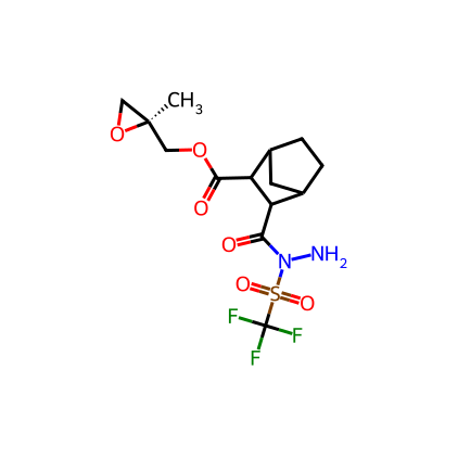 C[C@@]1(COC(=O)C2C3CCC(C3)C2C(=O)N(N)S(=O)(=O)C(F)(F)F)CO1